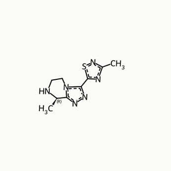 Cc1nsc(-c2nnc3n2CCN[C@@H]3C)n1